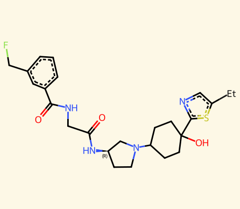 CCc1cnc(C2(O)CCC(N3CC[C@@H](NC(=O)CNC(=O)c4cccc(CF)c4)C3)CC2)s1